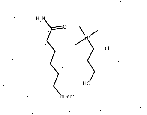 CCCCCCCCCCCCCCCC(N)=O.C[N+](C)(C)CCCO.[Cl-]